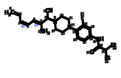 C=C/C=C\C=C(/N)C(C#N)N1CCN(c2ccc(NC(=O)C(CC)CC)cc2F)CC1